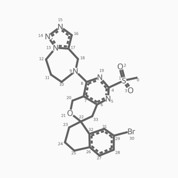 CS(=O)(=O)c1nc2c(c(N3CCCn4nncc4C3)n1)COC1(CCCc3ccc(Br)cc31)C2